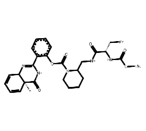 CC(C)C[C@H](NC(=O)OC(C)(C)C)C(=O)NCC1CCCCN1C(=O)Oc1ccccc1C1=NC2C=CC=C[C@@H]2C(=O)N1